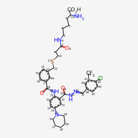 NC(CCCCNC(=O)CCSCc1cccc(C(=O)Nc2ccc(N3CCCCC3)cc2C(=O)NN=Cc2ccc(Cl)c(C(F)(F)F)c2)c1)C(=O)O